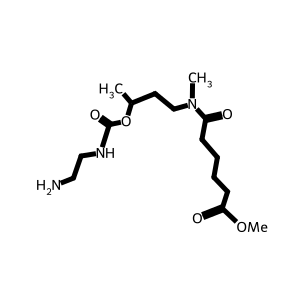 COC(=O)CCCCC(=O)N(C)CCC(C)OC(=O)NCCN